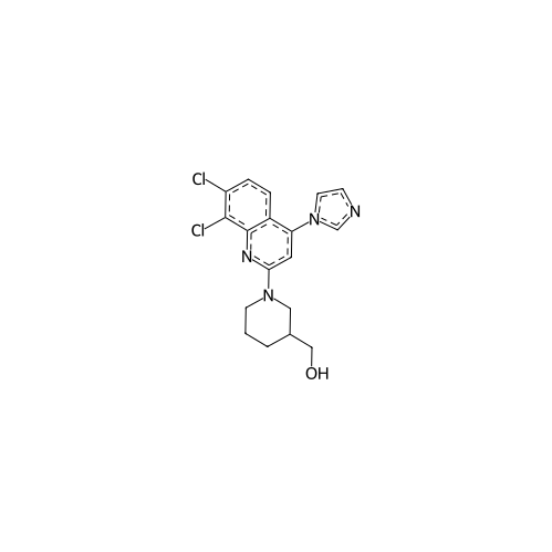 OCC1CCCN(c2cc(-n3ccnc3)c3ccc(Cl)c(Cl)c3n2)C1